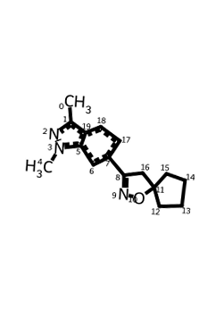 Cc1nn(C)c2cc(C3=NOC4(CCCC4)C3)ccc12